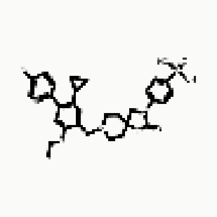 CCOc1cc(-c2ccc(F)cn2)c(C2CC2)cc1CN1CCC2(CC1)CN(c1ccc(P(=O)(O)O)cc1)C(=O)O2